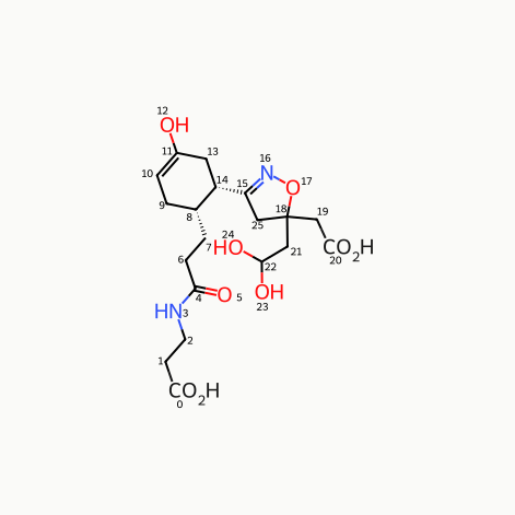 O=C(O)CCNC(=O)CC[C@@H]1CC=C(O)C[C@@H]1C1=NOC(CC(=O)O)(CC(O)O)C1